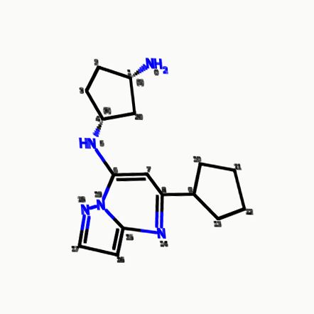 N[C@H]1CC[C@@H](Nc2cc(C3CCCC3)nc3ccnn23)C1